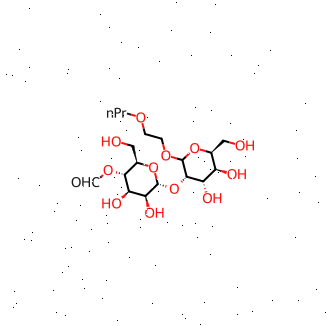 CCCOCCOC1O[C@@H](CO)[C@@H](O)[C@H](O)[C@@H]1O[C@H]1O[C@H](CO)[C@@H](OC=O)[C@H](O)[C@@H]1O